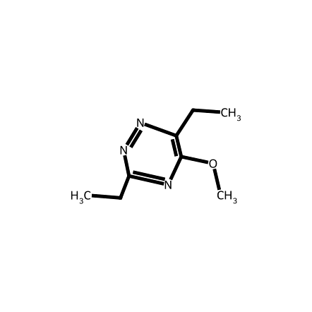 CCc1nnc(CC)c(OC)n1